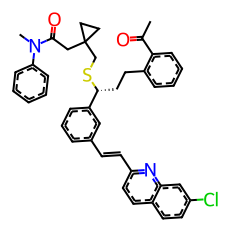 CC(=O)c1ccccc1CC[C@@H](SCC1(CC(=O)N(C)c2ccccc2)CC1)c1cccc(/C=C/c2ccc3ccc(Cl)cc3n2)c1